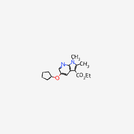 CCOC(=O)c1c(C)n(C)c2ncc(OC3CCCC3)cc12